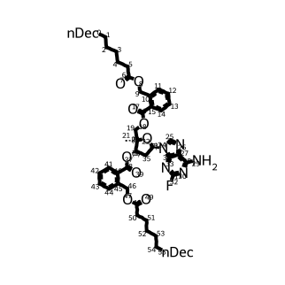 CCCCCCCCCCCCCCCC(=O)OCc1ccccc1C(=O)OC[C@@]1(C)O[C@@H](n2cnc3c(N)nc(F)nc32)C[C@@H]1OC(=O)c1ccccc1COC(=O)CCCCCCCCCCCCCCC